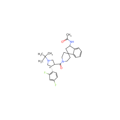 CC(=O)NC1CC2(CCN(C(=O)C3CN(C(C)(C)C)C[C@H]3c3ccc(F)cc3F)CC2)c2ccccc21